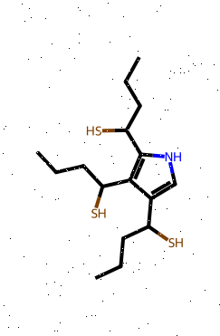 CCCC(S)c1c[nH]c(C(S)CCC)c1C(S)CCC